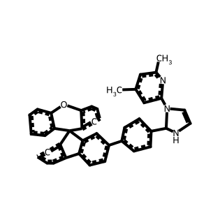 Cc1cc(C)nc(N2C=CNC2c2ccc(-c3ccc4c(c3)C3(c5ccccc5Oc5ccccc53)c3ccccc3-4)cc2)c1